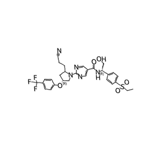 CCS(=O)(=O)c1ccc([C@H](CO)NC(=O)c2cnc(N3C[C@H](Oc4ccc(C(F)(F)F)cc4)CC3CCC#N)nc2)cc1